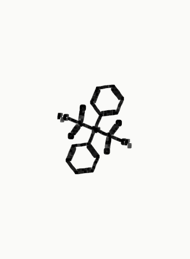 O=S(=O)(C(F)(F)F)[N+](c1ccccc1)(c1ccccc1)S(=O)(=O)C(F)(F)F